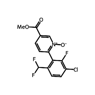 COC(=O)c1ccc(-c2c(C(F)F)ccc(Cl)c2F)[n+]([O-])c1